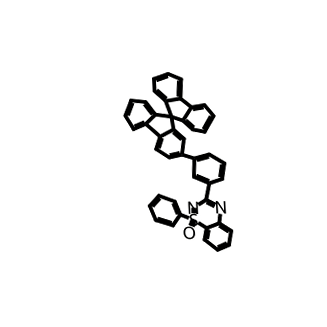 O=S1(c2ccccc2)=NC(c2cccc(-c3ccc4c(c3)C3(c5ccccc5-c5ccccc53)c3ccccc3-4)c2)=Nc2ccccc21